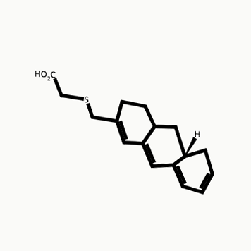 O=C(O)CSCC1=CC2=CC3=CC=CC[C@H]3CC2CC1